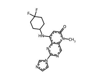 Cn1c(=O)cc(NC2CCC(F)(F)CC2)c2nc(-n3ccnc3)ncc21